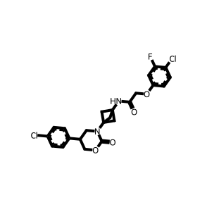 O=C(COc1ccc(Cl)c(F)c1)NC12CC(N3CC(c4ccc(Cl)cc4)COC3=O)(C1)C2